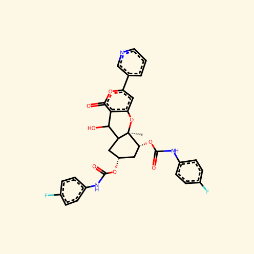 C[C@@]12Oc3cc(-c4cccnc4)oc(=O)c3C(O)C1C[C@@H](OC(=O)Nc1ccc(F)cc1)C[C@H]2OC(=O)Nc1ccc(F)cc1